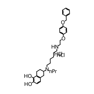 CCCN(CCCCCCNCCOc1ccc(OCc2ccccc2)cc1)C1CCc2c(ccc(O)c2O)C1.Cl.Cl